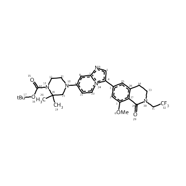 COc1cc(-c2cnc3cc(N4CCN(C(=O)OC(C)(C)C)C(C)(C)C4)ccn23)cc2c1C(=O)N(CC(F)(F)F)CC2